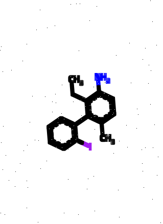 CCc1c(N)ccc(C)c1-c1ccccc1I